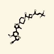 COc1cc(-c2cnn(C3CCN(C(=O)C4(F)CN(C(=O)/C=C/C(F)(F)F)C4)CC3)c2C)cn2ncc(C#N)c12